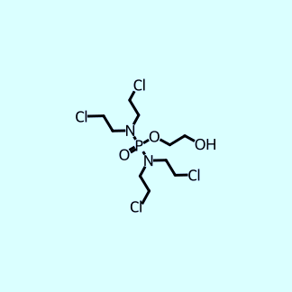 O=P(OCCO)(N(CCCl)CCCl)N(CCCl)CCCl